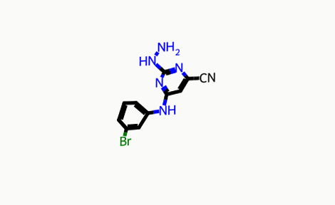 N#Cc1cc(Nc2cccc(Br)c2)nc(NN)n1